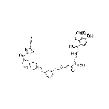 CC#Cc1nc(C(=O)N2CCOC3(CCN(CCc4cccc(CCOCCC(=O)N(CCCC)CCNCC(O)c5ccc(O)c(NC)c5/C=C\C=O)c4)CC3)C2)cs1